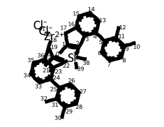 CC1=C2c3c(-c4cccc(C)c4C)cccc3[CH]1[Zr+2][CH]1C(C)=C(c3c(-c4cccc(C)c4C)cccc31)[Si]2(C)C.[Cl-].[Cl-]